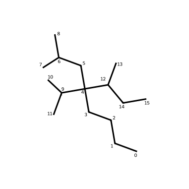 CCCCC(CC(C)C)([C](C)C)C(C)CC